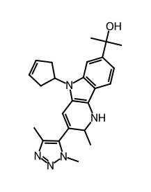 Cc1nnn(C)c1C1=Cc2c(c3ccc(C(C)(C)O)cc3n2C2CC=CC2)NC1C